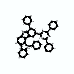 c1ccc(-c2nc(-c3ccccc3)nc(-c3cc(-c4ccccc4)c4oc5ccc6c7ccccc7n(-c7ccccc7)c6c5c4c3)n2)cc1